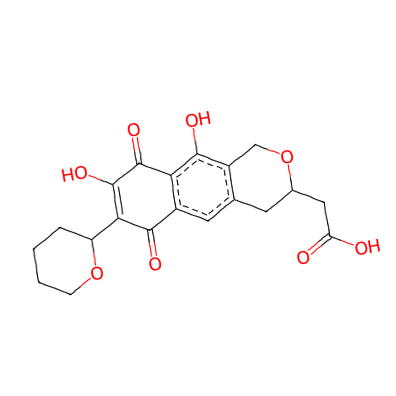 O=C(O)CC1Cc2cc3c(c(O)c2CO1)C(=O)C(O)=C(C1CCCCO1)C3=O